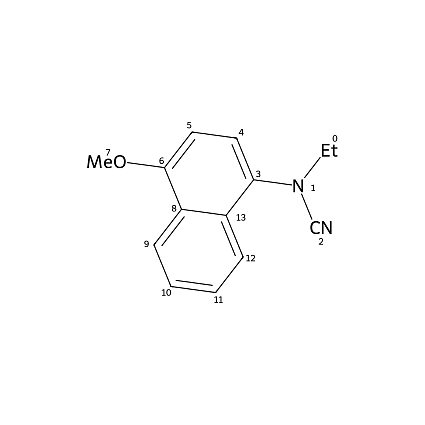 CCN(C#N)c1ccc(OC)c2ccccc12